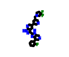 Fc1ccccc1-c1cncc2[nH]c(-c3n[nH]c4ncc(-c5cncc(CN6CCC(F)(F)C6)c5)cc34)nc12